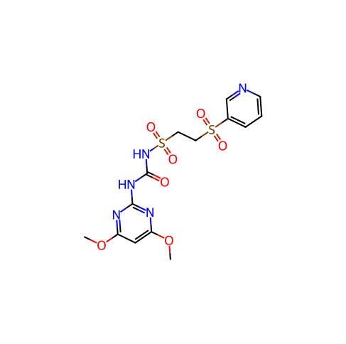 COc1cc(OC)nc(NC(=O)NS(=O)(=O)CCS(=O)(=O)c2cccnc2)n1